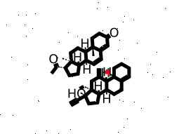 C#C[C@]1(O)CC[C@H]2[C@@H]3CCC4=CCCC[C@@H]4[C@H]3C(=C)C[C@@]21CC.CC(=O)[C@H]1CC[C@H]2[C@@H]3C=CC4=CC(=O)CC[C@@]4(C)[C@@H]3CC[C@]12C